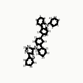 c1ccc(-n2c3ccccc3c3cc(-c4ccc5c(c4)c4ccccc4n5-c4ncnc5c4sc4ccccc45)ccc32)cc1